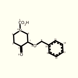 O=C1CCN(C(=O)O)CC1OCc1ccccc1